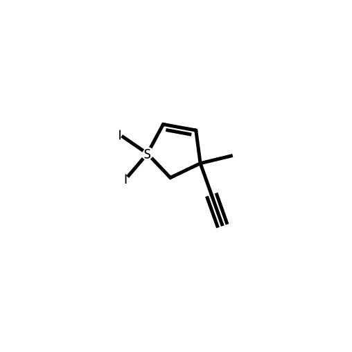 C#CC1(C)C=CS(I)(I)C1